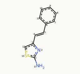 Nc1nc(C=Cc2ccccc2)cs1